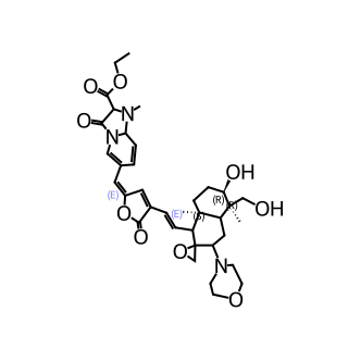 CCOC(=O)C1C(=O)N2C=C(/C=C3C=C(/C=C/C4C5(CO5)C(N5CCOCC5)CC5[C@]4(C)CC[C@@H](O)[C@@]5(C)CO)C(=O)O\3)C=CC2N1C